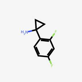 NC1(c2ccc(F)cc2F)CC1